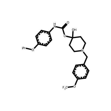 CC(C)Oc1ccc(NC(=O)OC2(O)CCN(Cc3ccc(OC(F)(F)F)cc3)CC2)cc1